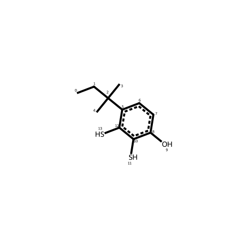 CCC(C)(C)c1ccc(O)c(S)c1S